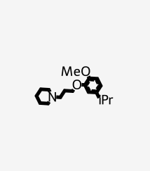 COc1ccc(C(C)C)cc1OCCCN1CCCCC1